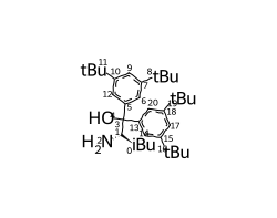 CC[C@H](C)[C@H](N)C(O)(c1cc(C(C)(C)C)cc(C(C)(C)C)c1)c1cc(C(C)(C)C)cc(C(C)(C)C)c1